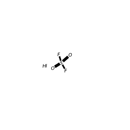 I.O=S(=O)(F)F